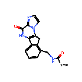 CNC(=O)NCc1cccc2c1Cc1c-2[nH]c(=O)c2nccn12